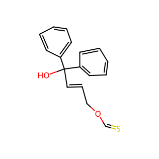 OC(C=CCOC=S)(c1ccccc1)c1ccccc1